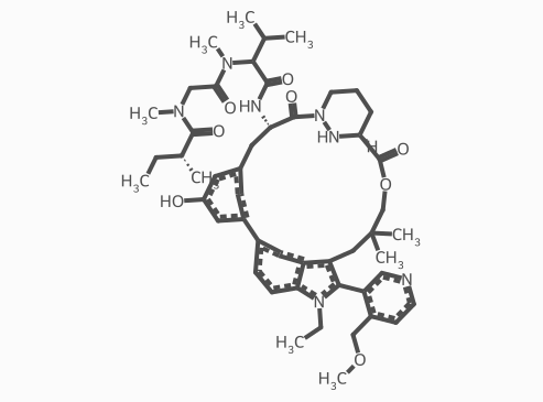 CC[C@@H](C)C(=O)N(C)CC(=O)N(C)C(C(=O)N[C@H]1Cc2cc(O)cc(c2)-c2ccc3c(c2)c(c(-c2cnccc2COC)n3CC)CC(C)(C)COC(=O)[C@@H]2CCCN(N2)C1=O)C(C)C